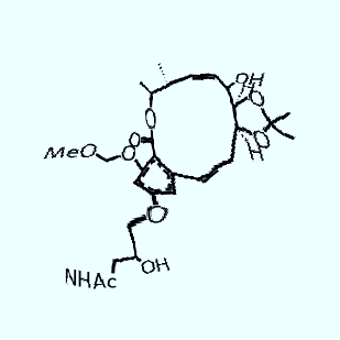 COCOc1cc(OCC(O)CNC(C)=O)cc2c1C(=O)O[C@@H](C)[C@H](C)/C=C\C(O)[C@H]1OC(C)(C)O[C@H]1C/C=C/2